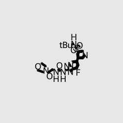 CC(C)(C)NS(=O)(=O)c1cncc(-c2cc(F)c3nc(NC(=O)NCC(=O)N4CCOCC4)nn3c2)c1